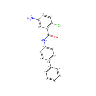 Nc1ccc(Cl)c(C(=O)Nc2ccc(-c3ccccc3)cc2)c1